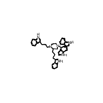 c1ccc2c(CCCC3C[N+](c4cccc5[nH]ccc45)(c4cccc5[nH]ccc45)CCN3CCCc3c[nH]c4ccccc34)c[nH]c2c1